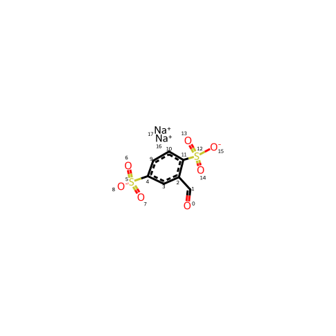 O=Cc1cc(S(=O)(=O)[O-])ccc1S(=O)(=O)[O-].[Na+].[Na+]